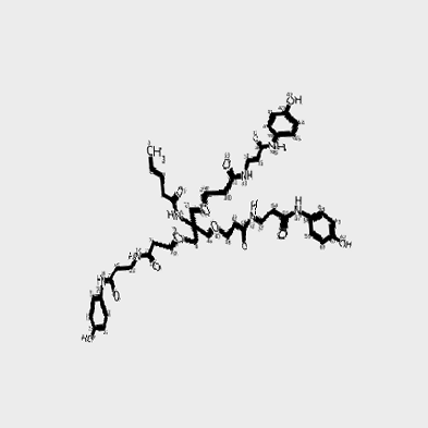 CCCCC(=O)NC(COCCC(=O)NCCC(=O)Nc1ccc(O)cc1)(COCCC(=O)NCCC(=O)Nc1ccc(O)cc1)COCCC(=O)NCCC(=O)Nc1ccc(O)cc1